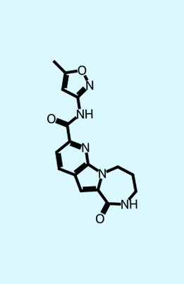 Cc1cc(NC(=O)c2ccc3cc4n(c3n2)CCCNC4=O)no1